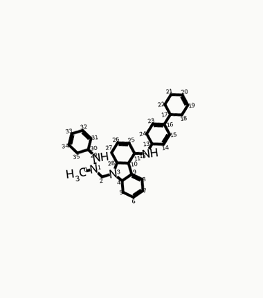 CN(CN1C2CC=CC=C2C2C(NC3C=CC(C4CC=CCC4)=CC3)C=CCC21)NC1C=CC=CC1